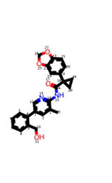 Cc1cc(-c2ccccc2CO)cnc1NC(=O)C1(c2ccc3c(c2)OCO3)CC1